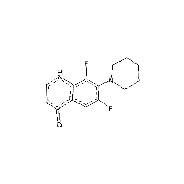 O=c1cc[nH]c2c(F)c(N3CCCCC3)c(F)cc12